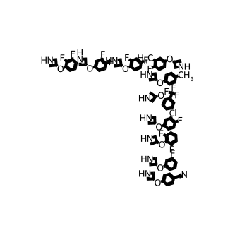 Cc1cc(OC2CNC2)ccc1F.Cc1ccc(OC2CNC2)cc1.FC(F)(F)c1ccccc1OC1CNC1.Fc1ccc(OC2CNC2)c(F)c1.Fc1ccc(OC2CNC2)cc1Cl.Fc1ccc(OC2CNC2)cc1F.Fc1cccc(F)c1OC1CNC1.Fc1cccc(OC2CNC2)c1.Fc1cccc(OC2CNC2)c1F.N#Cc1ccc(OC2CNC2)cc1